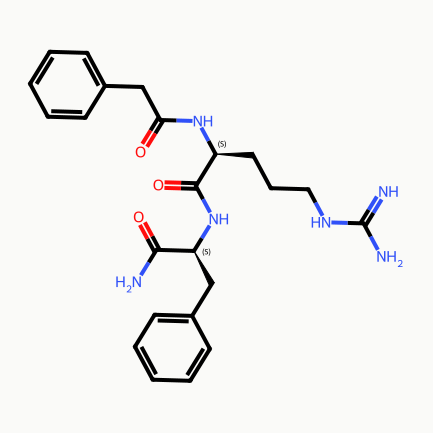 N=C(N)NCCC[C@H](NC(=O)Cc1ccccc1)C(=O)N[C@@H](Cc1ccccc1)C(N)=O